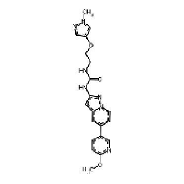 COc1ccc(-c2ccn3nc(NC(=O)NCCOc4cnn(C)c4)cc3c2)cn1